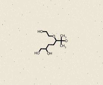 CC(C)([O])C(CCC(O)CO)OCCO